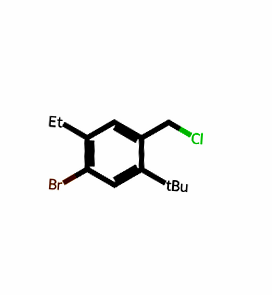 CCc1cc(CCl)c(C(C)(C)C)cc1Br